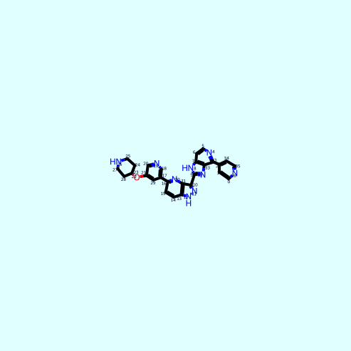 c1cc(-c2nccc3[nH]c(-c4n[nH]c5ccc(-c6cncc(OC7CCNCC7)c6)nc45)nc23)ccn1